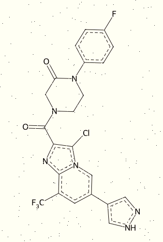 O=C(c1nc2c(C(F)(F)F)cc(-c3cn[nH]c3)cn2c1Cl)N1CCN(c2ccc(F)cc2)C(=O)C1